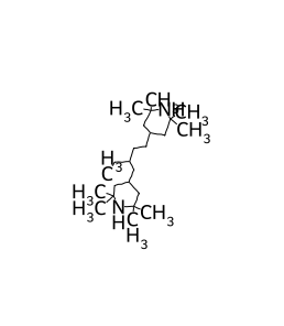 CCC(CCC1CC(C)(C)NC(C)(C)C1)CC1CC(C)(C)NC(C)(C)C1